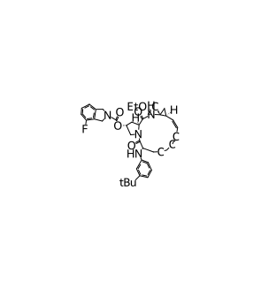 CCOC(=O)[C@@]12C[C@H]1/C=C\CCCCC[C@H](Nc1cccc(C(C)(C)C)c1)C(=O)N1C[C@H](OC(=O)N3Cc4cccc(F)c4C3)C[C@H]1C(=O)N2